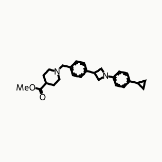 COC(=O)C1CCN(Cc2ccc(C3CN(c4ccc(C5CC5)cc4)C3)cc2)CC1